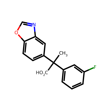 CC(C(=O)O)(c1cccc(F)c1)c1ccc2ocnc2c1